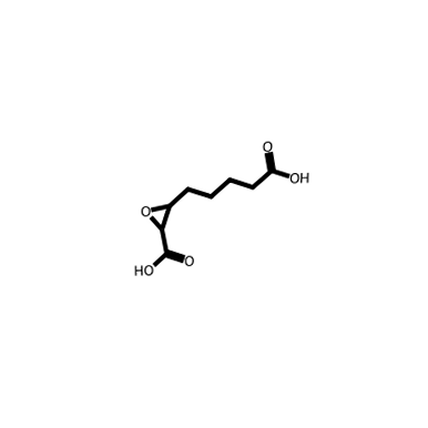 O=C(O)CCCCC1OC1C(=O)O